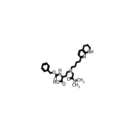 CN(C)C(=O)CN(CCCCc1ccc2c(n1)NCCC2)CCC(NC(=O)OCc1ccccc1)C(=O)O